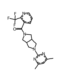 Cc1cc(C)nc(N2CC3CN(C(=O)c4cccnc4C(F)(F)F)CC3C2)n1